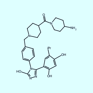 CC(C)c1cc(-c2nnc(O)n2-c2ccc(CN3CCC(C(=O)N4CCC(N)CC4)CC3)cc2)c(O)cc1O